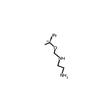 CC(C)[C@H](C)OCNCCN